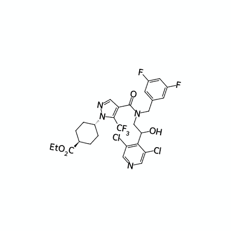 CCOC(=O)[C@H]1CC[C@H](n2ncc(C(=O)N(Cc3cc(F)cc(F)c3)CC(O)c3c(Cl)cncc3Cl)c2C(F)(F)F)CC1